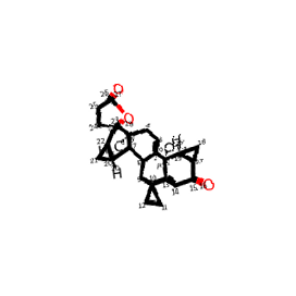 C[C@@]12C3=CC[C@@]4(C)C(C3CC3(CC3)C1=CC(=O)C1C[C@@H]12)[C@@H]1CC1[C@@]41CCC(=O)O1